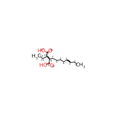 CC/C=C/CCCC/C(C(=O)O)=C(/CC)C(=O)O